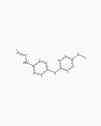 COc1ccc(Oc2ccc(NC=O)cc2)cc1